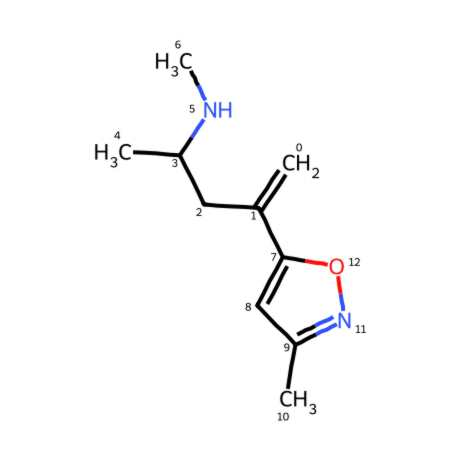 C=C(CC(C)NC)c1cc(C)no1